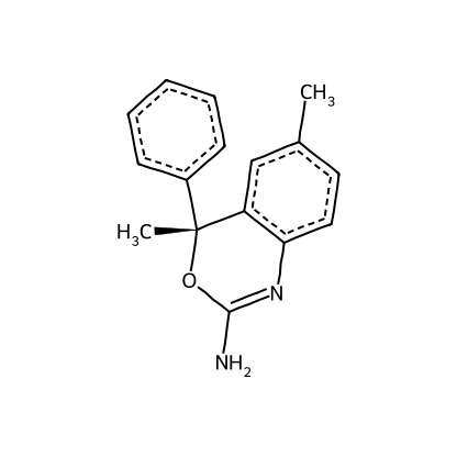 Cc1ccc2c(c1)[C@@](C)(c1ccccc1)OC(N)=N2